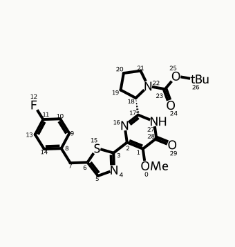 COc1c(-c2ncc(Cc3ccc(F)cc3)s2)nc([C@@H]2CCCN2C(=O)OC(C)(C)C)[nH]c1=O